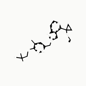 Cc1cc(Cn2cc3c(C4(NC=O)CC4)nccc3n2)nnc1OCC(F)(F)F